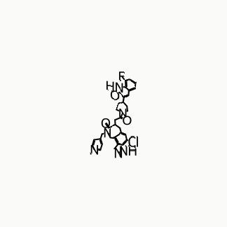 O=C(CC1Cc2cc(Cl)c3[nH]ncc3c2CN(Cc2ccncc2)C1=O)N1CCC(c2cc3cccc(F)c3[nH]c2=O)CC1